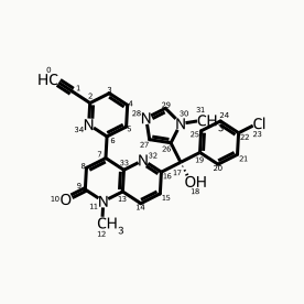 C#Cc1cccc(-c2cc(=O)n(C)c3ccc([C@](O)(c4ccc(Cl)cc4)c4cncn4C)nc23)n1